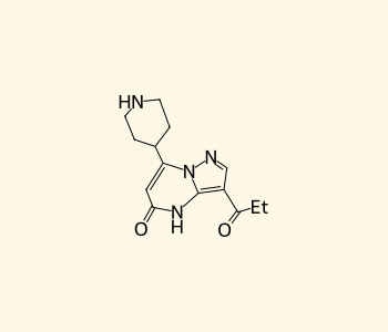 CCC(=O)c1cnn2c(C3CCNCC3)cc(=O)[nH]c12